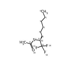 CCCCCC[C@H](SC(C)=O)C(F)(F)F